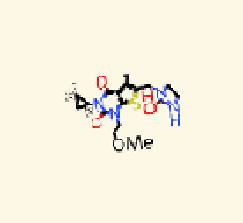 COCCn1c(=O)n([C@H]2C[C@@H]2C)c(=O)c2c(C)c(CN3CCNC3O)sc21